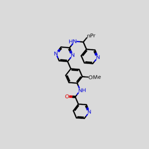 CCCC(Nc1cncc(-c2ccc(NC(=O)c3cccnc3)c(OC)c2)n1)c1cccnc1